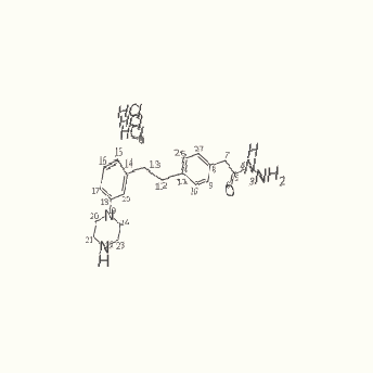 Cl.Cl.Cl.NNC(=O)Cc1ccc(CCc2cccc(N3CCNCC3)c2)cc1